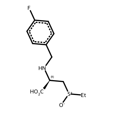 CC[S+]([O-])C[C@H](NCc1ccc(F)cc1)C(=O)O